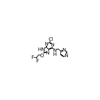 FC(F)COc1nc2c(NCc3ccncn3)nc(Cl)nc2[nH]1